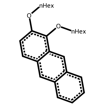 CCCCCCOc1ccc2cc3ccccc3cc2c1OCCCCCC